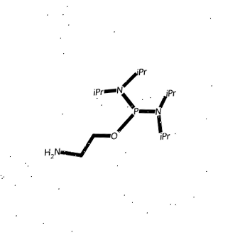 CC(C)N(C(C)C)P(OCCN)N(C(C)C)C(C)C